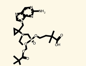 CCN(CP(=O)(OCCC(C)(C)C(=O)O)OCOC(=O)C(C)(C)C)C1(Cn2cnc3cnc(N)nc32)CC1